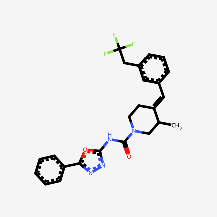 CC1CN(C(=O)Nc2nnc(-c3ccccc3)o2)CCC1=Cc1cccc(CC(F)(F)F)c1